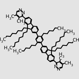 CCCCCCCCC1(CCCCCCCC)c2cc(-c3cc(CCCCCC)c(-c4ccc5c(c4)C(CCCCCCCC)(CCCCCCCC)c4cc(-c6nncc(C)c6C)ccc4-5)cc3CCCCCC)ccc2-c2ccc(-c3nncc(C)c3C)cc21